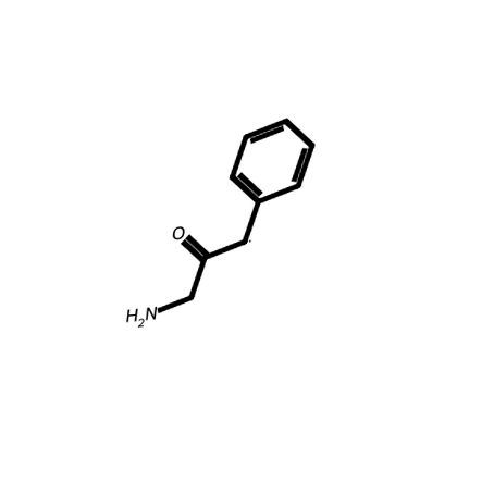 NCC(=O)[CH]c1ccccc1